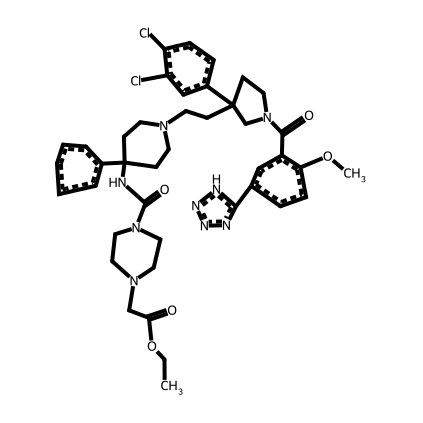 CCOC(=O)CN1CCN(C(=O)NC2(c3ccccc3)CCN(CCC3(c4ccc(Cl)c(Cl)c4)CCN(C(=O)c4cc(-c5nnn[nH]5)ccc4OC)C3)CC2)CC1